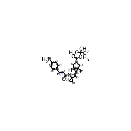 CC(C)(C)OC(=O)N1C[C@@H]2[C@H](C1)[C@H]2CC1(NC(=O)/C=C/c2ccc(N)nc2)CC1